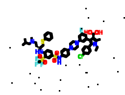 CCn1c(C)c(C(O)O)c(-c2cc(F)cc(N3CCN(c4ccc(NS(=O)(=O)c5ccc(N[C@H](CCN(C)CC(C)C)CSc6ccccc6)c(S(=O)(=O)C(F)(F)F)c5)cc4)CC3)c2)c1-c1ccc(Cl)cc1